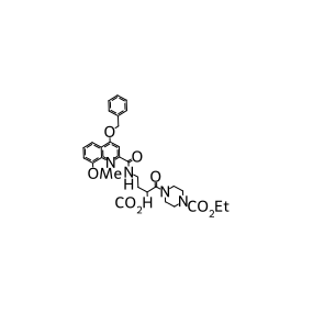 CCOC(=O)N1CCN(C(=O)C(CCNC(=O)c2cc(OCc3ccccc3)c3cccc(OC)c3n2)C(=O)O)CC1